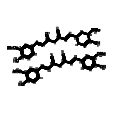 COc1cc(C=CC(=O)CC(=O)C=CC2CC=C(O)C(OC)C2)ccc1O.COc1cc(C=CC(=O)CC(=O)C=Cc2ccc(O)c(OC)c2)ccc1O